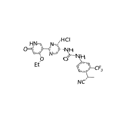 CCOc1cc(=O)[nH]cc1-c1ncc(NC(=O)Nc2ccc(C(C)C#N)c(C(F)(F)F)c2)c(C)n1.Cl